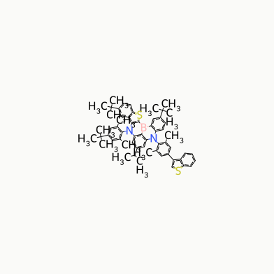 Cc1cc(-c2csc3ccccc23)cc(C)c1N1c2ccc(C(C)(C)C)cc2B2c3sc4ccc(C(C)(C)C)cc4c3N(c3c(C)cc(C(C)(C)C)cc3C)c3cc(C(C)C)cc1c32